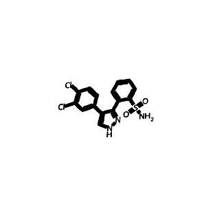 NS(=O)(=O)c1ccccc1-c1n[nH]cc1-c1ccc(Cl)c(Cl)c1